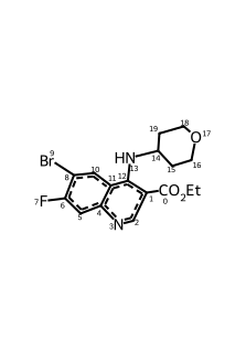 CCOC(=O)c1cnc2cc(F)c(Br)cc2c1NC1CCOCC1